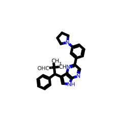 CC(C)(C=O)C(c1ccccc1)c1c[nH]c2ncc(-c3cccc(N4CCCC4)c3)nc12